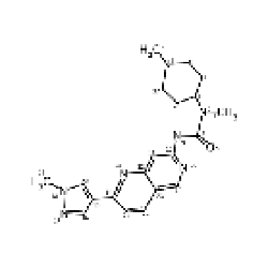 CN1CCC(N(C)C(=O)Nc2cc3nc(-c4cnn(C)c4)ccc3cn2)CC1